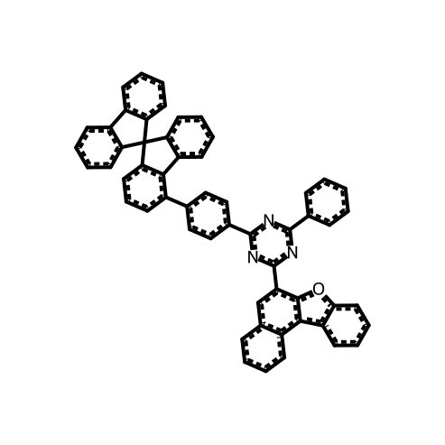 c1ccc(-c2nc(-c3ccc(-c4cccc5c4-c4ccccc4C54c5ccccc5-c5ccccc54)cc3)nc(-c3cc4ccccc4c4c3oc3ccccc34)n2)cc1